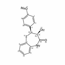 COc1ccc([C@@H]2Sc3ccccc3NC(=O)[C@@H]2O)cc1